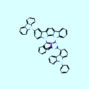 c1ccc(-c2nc(-c3cccc4c3c3ccccc3n4-c3ccccc3)nc(-n3c4ccccc4c4ccc5c6cc(-n7c8ccccc8c8ccccc87)ccc6n(-c6ccccc6)c5c43)n2)cc1